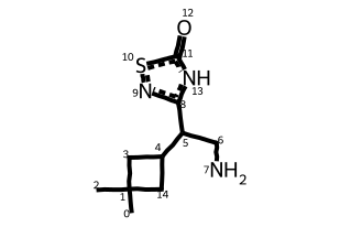 CC1(C)CC(C(CN)c2nsc(=O)[nH]2)C1